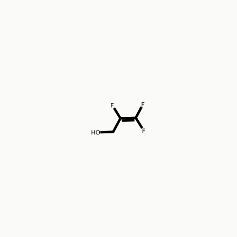 OCC(F)=C(F)F